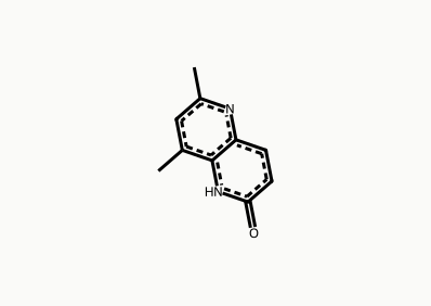 Cc1cc(C)c2[nH]c(=O)ccc2n1